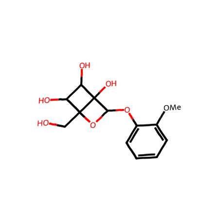 COc1ccccc1OC1OC2(CO)C(O)C(O)C12O